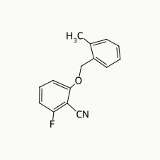 Cc1ccccc1COc1cccc(F)c1C#N